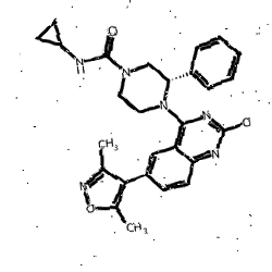 Cc1noc(C)c1-c1ccc2nc(Cl)nc(N3CCN(C(=O)NC4CC4)C[C@@H]3c3ccccc3)c2c1